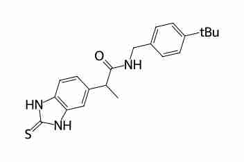 CC(C(=O)NCc1ccc(C(C)(C)C)cc1)c1ccc2[nH]c(=S)[nH]c2c1